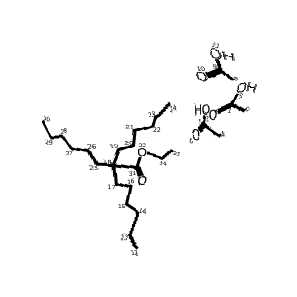 CC(=O)O.CC(=O)O.CC(=O)O.CCCCCCC(CCCCCC)(CCCCCC)C(=O)OCC